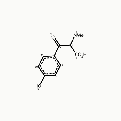 CNC(C(=O)O)C(=O)c1ccc(O)cc1